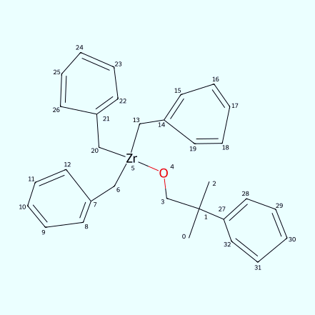 CC(C)(C[O][Zr]([CH2]c1ccccc1)([CH2]c1ccccc1)[CH2]c1ccccc1)c1ccccc1